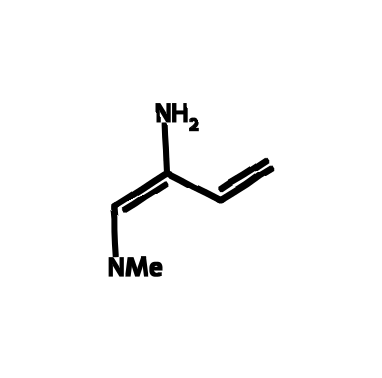 C=C/C(N)=C\NC